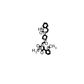 COc1ccccc1-c1cn(CC(=O)N2CCC(N3CCc4ccccc4NC3=O)CC2)c(=O)n(C)c1=O